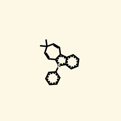 CC1(C)C=Cc2c(n(-c3ccccc3)c3ccccc23)C=C1